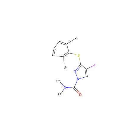 CCN(CC)C(=O)n1cc(I)c(Sc2c(C)cccc2C(C)C)n1